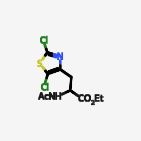 CCOC(=O)C(Cc1nc(Cl)sc1Cl)NC(C)=O